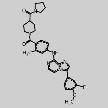 COc1ccc(-c2cnc3c(Nc4ccc(C(=O)N5CCC(C(=O)N6CCCC6)CC5)c(C)c4)nccn23)cc1F